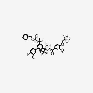 COc1cc(C(=O)NCC(O)(c2cc(C(C)(I)NC(=O)OCc3ccccc3)cc(-c3ccc(F)c(Cl)c3)n2)C(F)(F)F)ccc1OCC(N)=O